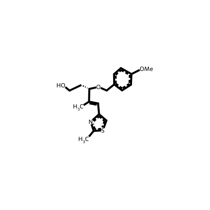 COc1ccc(CO[C@@H](CCO)C(C)=Cc2csc(C)n2)cc1